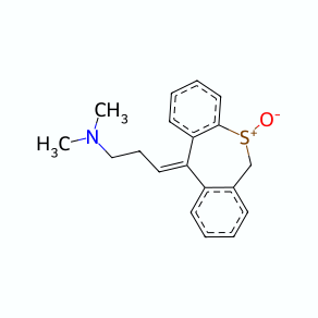 CN(C)CC/C=C1/c2ccccc2C[S+]([O-])c2ccccc21